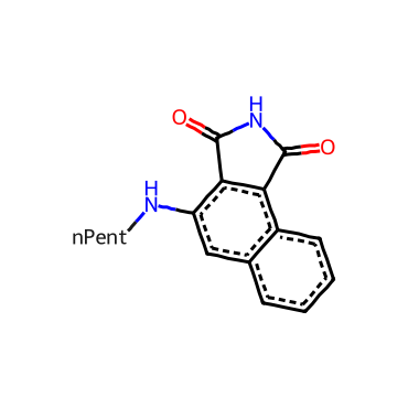 CCCCCNc1cc2ccccc2c2c1C(=O)NC2=O